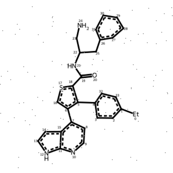 CCc1ccc(-c2c(-c3ccnc4[nH]ccc34)csc2C(=O)NC(CN)Cc2ccccc2)cc1